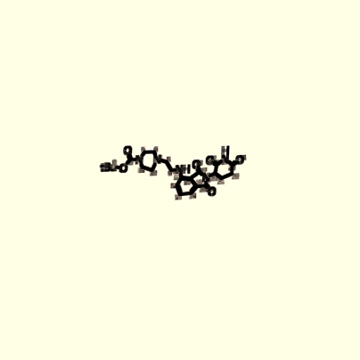 CC(C)(C)OC(=O)N1CCN(CCNc2cccc3c2C(=O)N(C2CCC(=O)NC2=O)C3=O)CC1